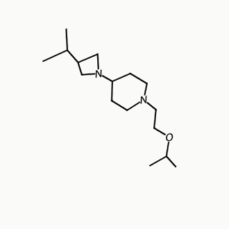 CC(C)OCCN1CCC(N2CC(C(C)C)C2)CC1